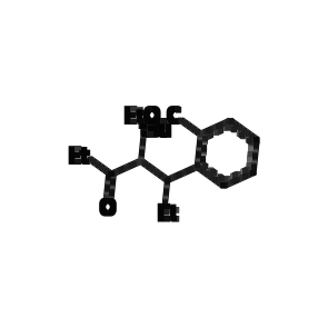 CCOC(=O)c1ccccc1C(CC)C(C(=O)CC)C(C)(C)C